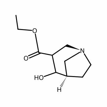 CCOC(=O)C1C[N@@]2CC[C@H](C2)C1O